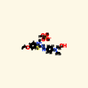 CCOc1ccc2c(c1)sc(N=Nc1ccc(N(CC)CCO)cc1)[n+]2C.COS(=O)(=O)[O-]